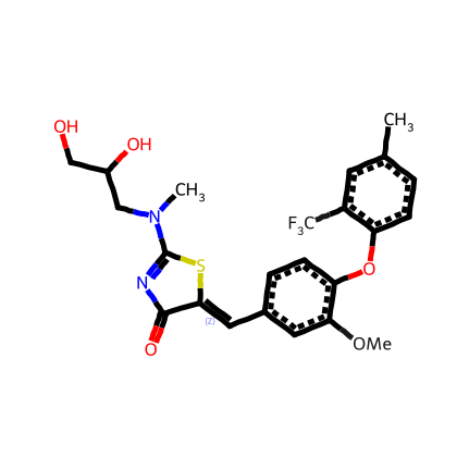 COc1cc(/C=C2\SC(N(C)CC(O)CO)=NC2=O)ccc1Oc1ccc(C)cc1C(F)(F)F